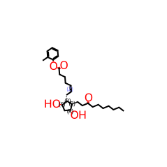 CCCCCCCC(=O)CC[C@@H]1[C@@H](C/C=C\CCCC(=O)Oc2ccccc2C)[C@@H](O)C[C@H]1O